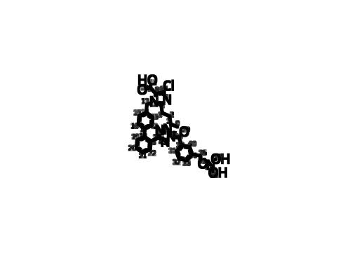 CCCCc1nc(Cl)c(C(=O)O)n1Cc1ccc(-c2ccccc2-c2nnn(C(=O)c3cccc(CON(O)O)c3)n2)cc1